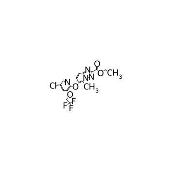 CCOC(=O)c1nc2ccc(Oc3ncc(Cl)cc3OCC(F)(F)F)c(C)n2n1